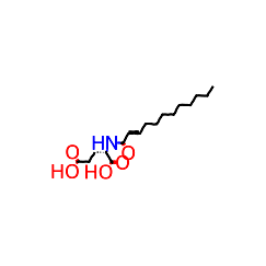 CCCCCCCCCC=CC(=O)N[C@@H](CCC(=O)O)C(=O)O